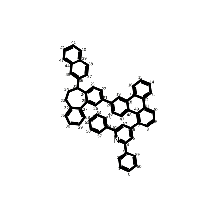 c1ccc(-c2cc(-c3cccc4c5ccccc5c5cc(-c6ccc7c(c6)-c6ccccc6CCC7c6ccc7ccccc7c6)ccc5c34)cc(-c3ccccc3)n2)cc1